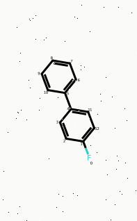 Fc1c[c]c(-c2ccccc2)cc1